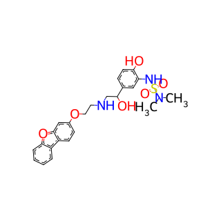 CN(C)S(=O)(=O)Nc1cc(C(O)CNCCOc2ccc3c(c2)oc2ccccc23)ccc1O